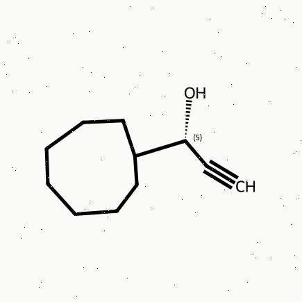 C#C[C@@H](O)C1CCCCCCC1